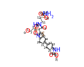 COCCS(=O)(=O)C(C(=O)NCCS(N)(=O)=O)c1nc2ccc(-c3ccc(NC(=O)OC)cc3)cc2s1